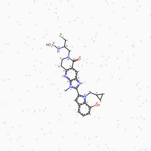 Cn1c(-c2cc3cccc(O)c3n2CC2CC2)nc2cc3c(nc21)CCN(CC(CF)NC(=O)O)C3=O